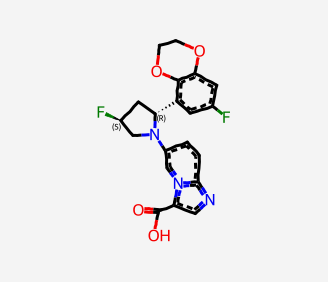 O=C(O)c1cnc2ccc(N3C[C@@H](F)C[C@@H]3c3cc(F)cc4c3OCCO4)cn12